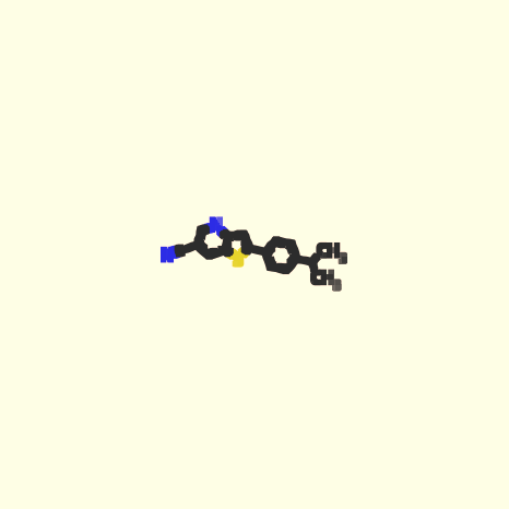 CC(C)c1ccc(-c2cc3ncc(C#N)cc3s2)cc1